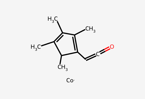 CC1=C(C)C(C)C(C=C=O)=C1C.[Co]